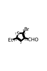 CCc1cc(C=O)c(Br)s1